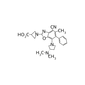 Cc1c(-c2ccccc2)c(N2CC[C@H](N(C)C)C2)c2oc(N3CC(C(=O)O)C3)nc2c1C#N